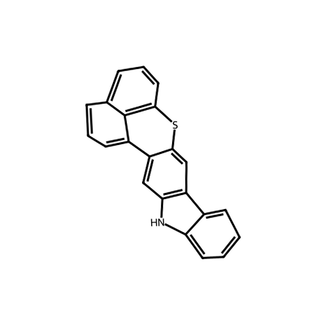 c1cc2c3c(cccc3c1)-c1cc3[nH]c4ccccc4c3cc1S2